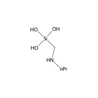 CCCNC[Si](O)(O)O